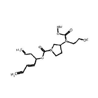 C=CC=CC(CC=C)OC(=O)N1CCC(N(CCO)C(=O)OC(C)(C)C)C1